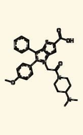 COc1ccc(-c2c(-c3ccccc3)c3sc(C(=O)O)cc3n2CC(=O)N2CCC(N(C)C)CC2)cc1